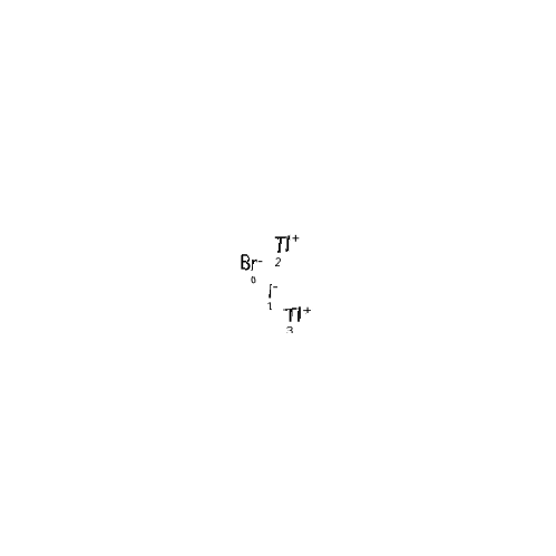 [Br-].[I-].[Tl+].[Tl+]